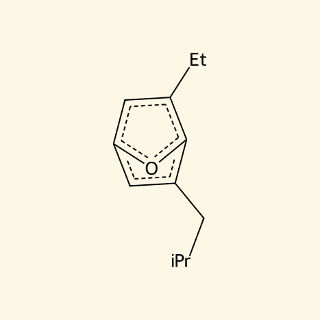 CCc1cc2cc(CC(C)C)c1o2